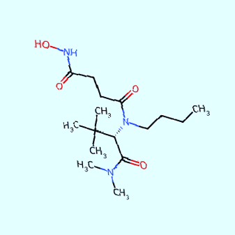 CCCCN(C(=O)CCC(=O)NO)[C@H](C(=O)N(C)C)C(C)(C)C